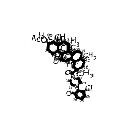 CC(=O)O[C@H]1CC[C@]2(C)[C@H]3C(=O)C=C4[C@@H]5C[C@@](C)(C(=O)N6CCN(c7c(Cl)cccc7Cl)CC6)CC[C@]5(C)CC[C@@]4(C)[C@]3(C)CC[C@H]2C1(C)C